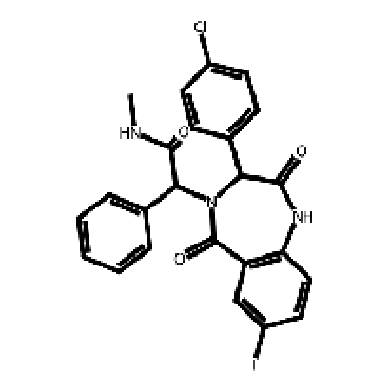 CNC(=O)C(c1ccccc1)N1C(=O)c2cc(I)ccc2NC(=O)C1c1ccc(Cl)cc1